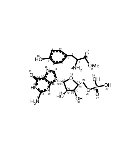 COC(=O)C(N)Cc1ccc(O)cc1.Nc1nc2c(ncn2[C@@H]2O[C@H](COP(=O)(O)O)[C@@H](O)[C@H]2O)c(=O)[nH]1